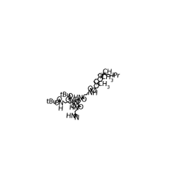 CC(C)CCC[C@@H](C)[C@H]1CCC2C3CC=C4CC(OC(=O)NCCCC(=O)N[C@H]5C[C@@H](C(=O)NCCc6cnc[nH]6)N(C(=O)[C@@H](CCCCNC(=O)OC(C)(C)C)NC(=O)OC(C)(C)C)C5)CC[C@]4(C)C3CC[C@@]21C